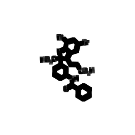 CCc1cc(Br)cc2c1=NC(C(=O)O)(c1cccc(NC(=O)c3ccccc3)c1)C=2C=CC(=O)O